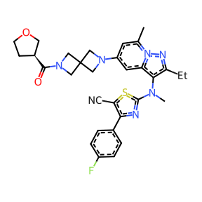 CCc1nn2c(C)cc(N3CC4(CN(C(=O)[C@H]5CCOC5)C4)C3)cc2c1N(C)c1nc(-c2ccc(F)cc2)c(C#N)s1